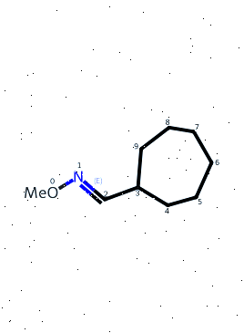 CO/N=C/C1CCCCCC1